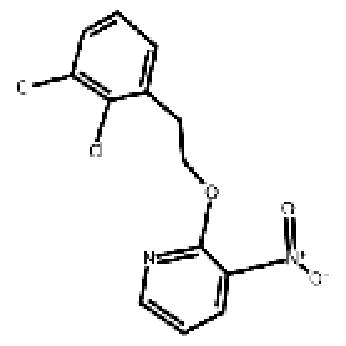 O=[N+]([O-])c1cccnc1OCCc1cccc(Cl)c1Cl